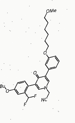 CCCCOc1ccc(-c2cn(CC#N)cc(-c3cccc(OCCCCCCOC)c3)c2=O)c(C(F)F)c1